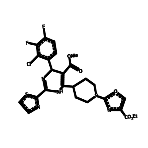 CCOC(=O)c1coc(N2CCC(C3=C(C(=O)OC)C(c4ccc(F)c(F)c4Cl)N=C(c4nccs4)N3)CC2)n1